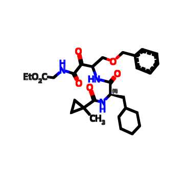 CCOC(=O)CNC(=O)C(=O)C(COCc1ccccc1)NC(=O)[C@@H](CC1CCCCC1)NC(=O)C1(C)CC1